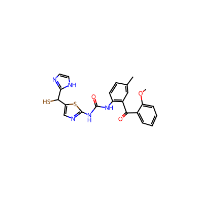 COc1ccccc1C(=O)c1cc(C)ccc1NC(=O)Nc1ncc(C(S)c2ncc[nH]2)s1